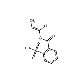 CC=C(Cl)OC(=O)c1ccccc1S(=O)(=O)O